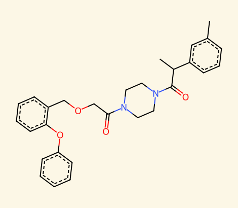 Cc1cccc(C(C)C(=O)N2CCN(C(=O)COCc3ccccc3Oc3ccccc3)CC2)c1